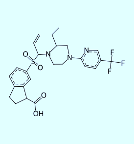 C=CC(N1CCN(c2ccc(C(F)(F)F)cn2)CC1CC)S(=O)(=O)c1ccc2c(c1)C(C(=O)O)CC2